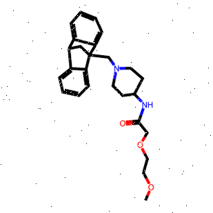 COCCOCC(=O)NC1CCN(CC23CC(c4ccccc42)c2ccccc23)CC1